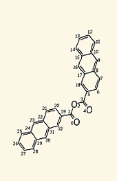 O=C(OC(=O)c1ccc2cc3ccccc3cc2c1)c1ccc2cc3ccccc3cc2c1